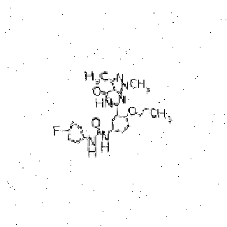 CCCOc1ccc(NC(=O)Nc2ccc(F)cc2)cc1-c1nc2c(c(C)nn2C)c(=O)[nH]1